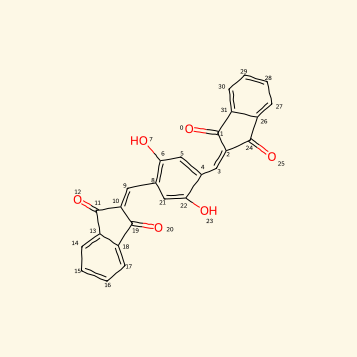 O=C1C(=Cc2cc(O)c(C=C3C(=O)c4ccccc4C3=O)cc2O)C(=O)c2ccccc21